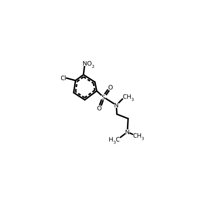 CN(C)CCN(C)S(=O)(=O)c1ccc(Cl)c([N+](=O)[O-])c1